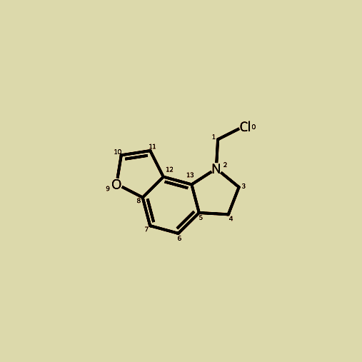 ClCN1CCc2ccc3occc3c21